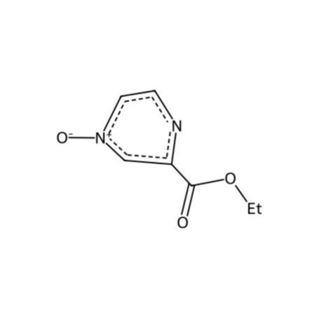 CCOC(=O)c1c[n+]([O-])ccn1